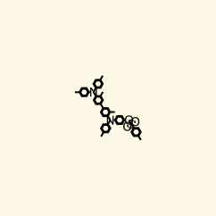 Cc1ccc(N(c2ccc(C)cc2)c2ccc(-c3ccc(N(c4ccc(C)cc4)c4ccc(OS(=O)(=O)c5ccc(C)cc5)cc4)c(C)c3)cc2C)cc1